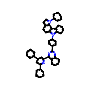 c1ccc(-c2cc(-c3ccccc3)nc(-c3nc(-c4ccc(-n5c6ccccc6c6c7c(ccc65)ccn7-c5ccccc5)cc4)nc4ccccc34)c2)cc1